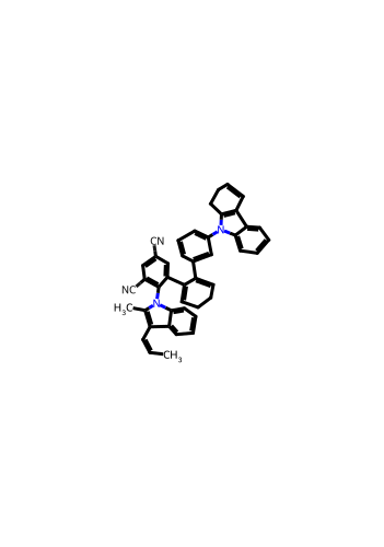 C/C=C\c1c(C)n(-c2c(C#N)cc(C#N)cc2C2=CCCC=C2c2cccc(-n3c4c(c5ccccc53)C=CCC4)c2)c2ccccc12